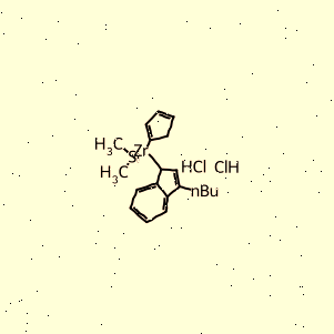 CCCCC1=C[CH]([Zr]([C]2=CC=CC2)=[Si](C)C)c2ccccc21.Cl.Cl